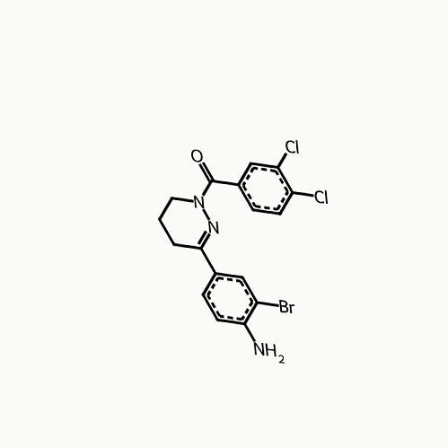 Nc1ccc(C2=NN(C(=O)c3ccc(Cl)c(Cl)c3)CCC2)cc1Br